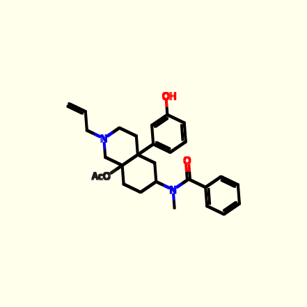 C=CCN1CCC2(c3cccc(O)c3)CC(N(C)C(=O)c3ccccc3)CCC2(OC(C)=O)C1